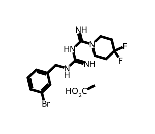 CC(=O)O.N=C(NCc1cccc(Br)c1)NC(=N)N1CCC(F)(F)CC1